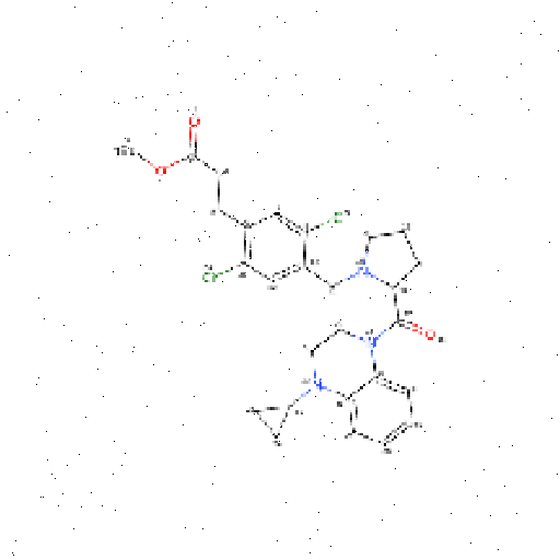 CC(C)(C)OC(=O)CCc1cc(Cl)c(CN2CCCC2C(=O)N2CCN(C3CC3)c3ccccc32)cc1Cl